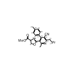 COC(=O)C1COC(c2c(C)nc(CC(C)C)c(C#N)c2-c2ccc(C)cc2)=N1